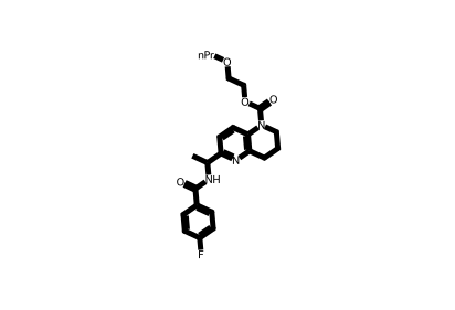 CCCOCCOC(=O)N1CCCc2nc(C(C)NC(=O)c3ccc(F)cc3)ccc21